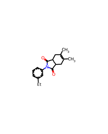 CCc1cccc(N2C(=O)C3CC(C)=C(C)CC3C2=O)c1